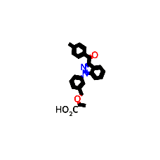 Cc1ccc(C(=O)c2nn(-c3cccc(CO[C@H](C)C(=O)O)c3)c3ccccc23)cc1